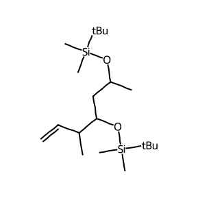 C=CC(C)C(CC(C)O[Si](C)(C)C(C)(C)C)O[Si](C)(C)C(C)(C)C